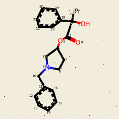 CC(C)C(O)(C(=O)OC1CCN(Cc2ccccc2)C1)c1ccccc1